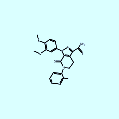 CSc1ccc(-n2nc(C(N)=O)c3c2C(=O)N(c2ccccc2C)CC3)cc1SC